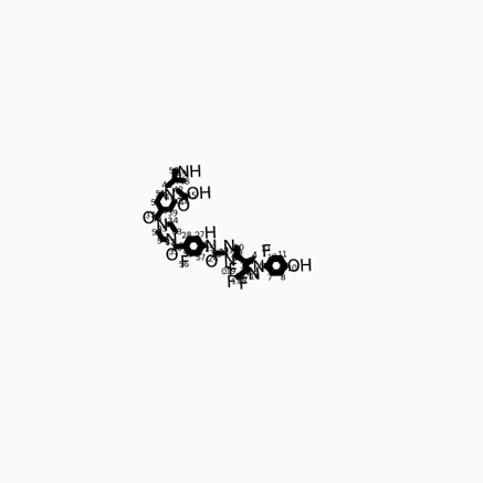 Cn1c(-c2cn(-c3ccc(O)cc3F)nc2C(F)(F)F)cnc1C(=O)Nc1ccc(C(=O)N2CCN(C(=O)C3CC[N+](CC(=O)O)(CC4CNC4)CC3)CC2)c(F)c1